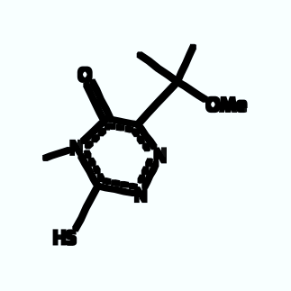 COC(C)(C)c1nnc(S)n(C)c1=O